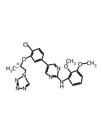 COc1cccc(Nc2ncc(-c3ccc(Cl)c(O[C@@H](C)Cn4cnnn4)c3)cn2)c1OC